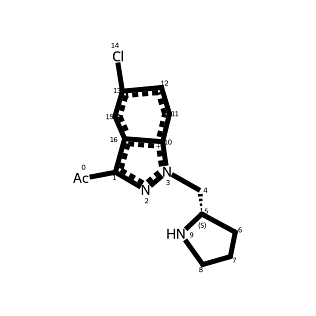 CC(=O)c1nn(C[C@@H]2CCCN2)c2ccc(Cl)cc12